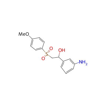 COc1ccc(S(=O)(=O)CC(O)c2cccc(N)c2)cc1